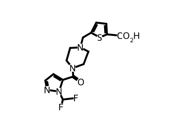 O=C(O)c1ccc(CN2CCN(C(=O)c3ccnn3C(F)F)CC2)s1